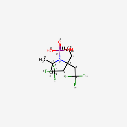 CCC(CC(F)(F)F)(CC(F)(F)F)N(C(C)C)P(=O)(O)O